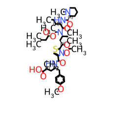 CC[C@H](C)[C@H](NC(=O)[C@H]1CCCCN1C)C(=O)N(COC(=O)CC(C)C)C(C[C@@H](OC(C)=O)c1nc(C(=O)N[C@@H](Cc2ccc(OC)cc2)C[C@H](C)C(=O)O)cs1)C(C)C